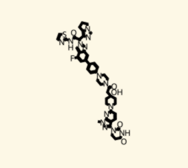 Cn1nc(N2CCC(=O)NC2=O)c2ccc(N3CCC(O)(CC(=O)N4CCN(c5ccc(-c6cc(F)c7cn(C(C(=O)Nc8nccs8)c8ncn9c8CCC9)nc7c6)cc5)CC4)CC3)nc21